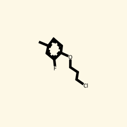 Cc1ccc(OCCCCl)c(F)c1